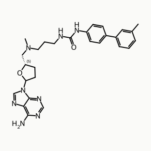 Cc1cccc(-c2ccc(NC(=O)NCCCN(C)C[C@@H]3CCC(n4cnc5c(N)ncnc54)O3)cc2)c1